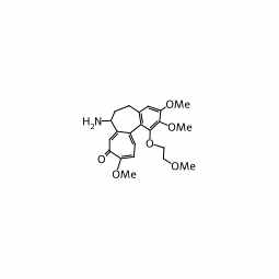 COCCOc1c(OC)c(OC)cc2c1-c1ccc(OC)c(=O)cc1C(N)CC2